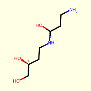 NCCC(O)NCC[C@H](O)CO